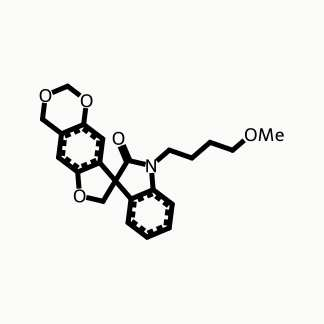 COCCCCN1C(=O)C2(COc3cc4c(cc32)OCOC4)c2ccccc21